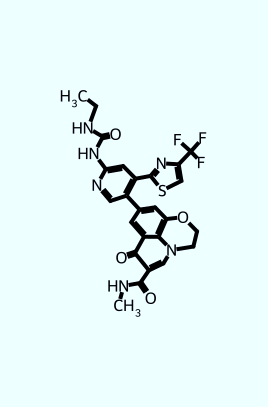 CCNC(=O)Nc1cc(-c2nc(C(F)(F)F)cs2)c(-c2cc3c4c(c2)c(=O)c(C(=O)NC)cn4CCO3)cn1